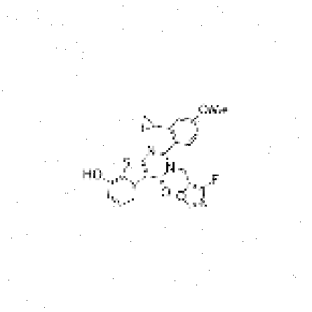 COc1ccc(-c2nc3sc4c(O)cccc4c3c(=O)n2Cc2ocnc2F)c(C2CC2)c1